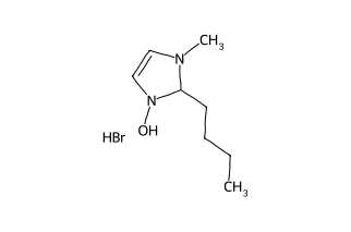 Br.CCCCC1N(C)C=CN1O